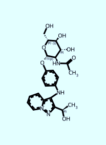 CC(=O)N[C@H]1[C@H](Oc2ccc(Nc3c([C@@H](C)O)nn4ccccc34)cc2)O[C@H](CO)[C@@H](O)[C@@H]1O